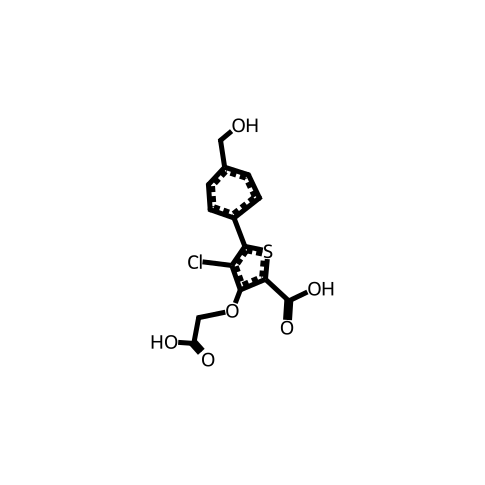 O=C(O)COc1c(C(=O)O)sc(-c2ccc(CO)cc2)c1Cl